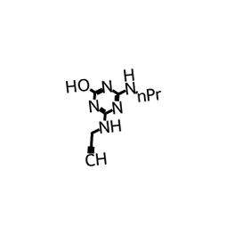 C#CCNc1nc(O)nc(NCCC)n1